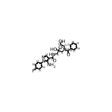 Nc1c(C(=O)NCC(O)(CN(CCO)C(=O)c2ccccc2)C(F)(F)F)cnn1-c1ccc(F)cc1